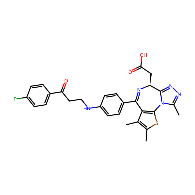 Cc1sc2c(c1C)C(c1ccc(NCCC(=O)c3ccc(F)cc3)cc1)=N[C@@H](CC(=O)O)c1nnc(C)n1-2